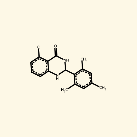 Cc1cc(C)c(C2NC(=O)c3c(Cl)cccc3N2)c(C)c1